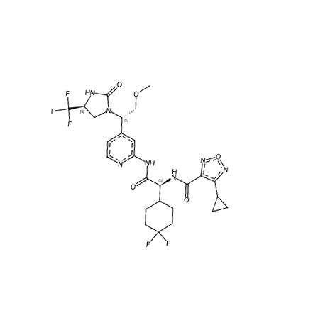 COC[C@H](c1ccnc(NC(=O)[C@@H](NC(=O)c2nonc2C2CC2)C2CCC(F)(F)CC2)c1)N1C[C@@H](C(F)(F)F)NC1=O